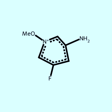 CO[n+]1cc(N)cc(F)c1